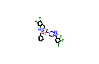 O=C(C[C@@H](Cc1cc(F)c(F)cc1F)NOCc1ccccc1)N1CCn2c(nnc2-c2ccc(F)c(F)c2F)C1